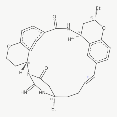 CC[C@H]1C[C@@H]2NC(=O)c3ccc4c(c3)[C@@H](CCO4)N3C(=N)N[C@](CC)(CC/C=C/c4ccc(c2c4)O1)CC3=O